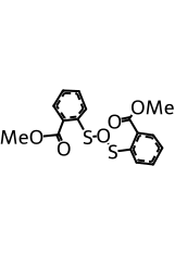 COC(=O)c1ccccc1SOSc1ccccc1C(=O)OC